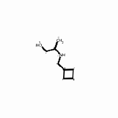 CC(CO)NCC1CCC1